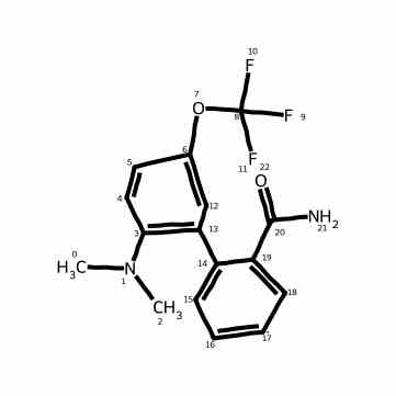 CN(C)c1ccc(OC(F)(F)F)cc1-c1cc[c]cc1C(N)=O